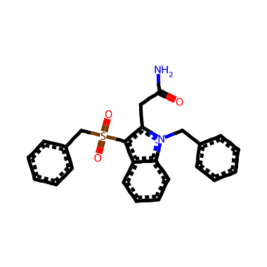 NC(=O)Cc1c(S(=O)(=O)Cc2ccccc2)c2ccccc2n1Cc1ccccc1